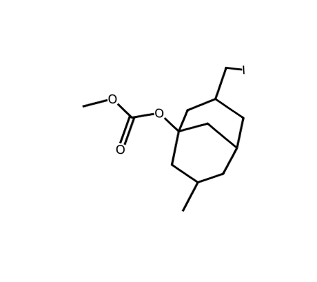 COC(=O)OC12CC(C)CC(CC(CI)C1)C2